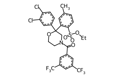 CCOS(=O)(=O)c1ccc(C)cc1C1(c2ccc(Cl)c(Cl)c2)CN(C(=O)c2cc(C(F)(F)F)cc(C(F)(F)F)c2)CCO1